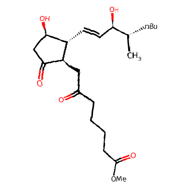 CCCC[C@H](C)[C@H](O)/C=C/[C@H]1[C@H](O)CC(=O)[C@@H]1CC(=O)CCCCC(=O)OC